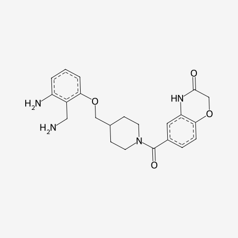 NCc1c(N)cccc1OCC1CCN(C(=O)c2ccc3c(c2)NC(=O)CO3)CC1